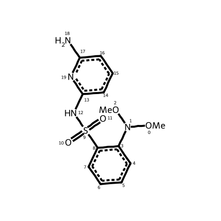 CON(OC)c1ccccc1S(=O)(=O)Nc1cccc(N)n1